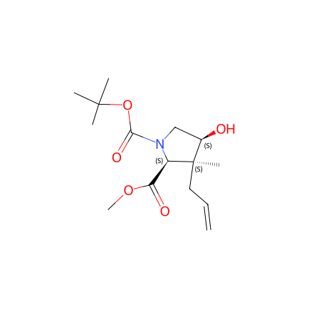 C=CC[C@]1(C)[C@H](O)CN(C(=O)OC(C)(C)C)[C@@H]1C(=O)OC